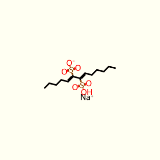 CCCCC=C(C(=CCCCCC)S(=O)(=O)O)S(=O)(=O)[O-].[Na+]